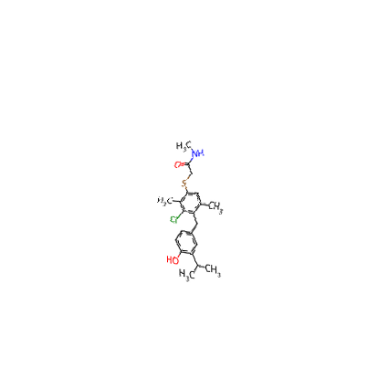 CNC(=O)CSc1cc(C)c(Cc2ccc(O)c(C(C)C)c2)c(Cl)c1C